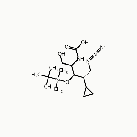 CC(C)(C)[Si](C)(C)O[C@H]([C@H](CN=[N+]=[N-])C1CC1)[C@@H](CO)NC(=O)O